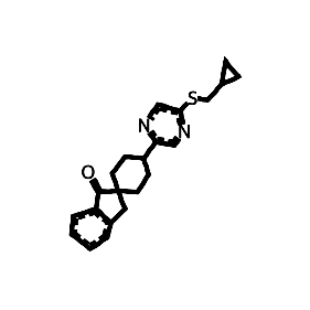 O=C1c2ccccc2CC12CCC(c1cnc(SCC3CC3)cn1)CC2